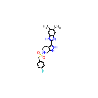 Cc1cc2nc(-c3[nH]nc4c3CCN(S(=O)(=O)Cc3ccc(F)cc3)C4)[nH]c2cc1C